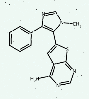 Cn1cnc(-c2c[c]ccc2)c1-c1cc2c(N)ncnc2s1